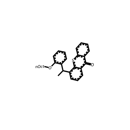 CCCCCCCCOc1ccccc1C(C)c1cccc2c(=O)c3ccccc3sc12